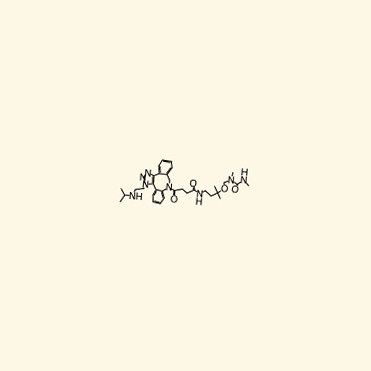 CNC(=O)N(C)COC(C)(C)CCNC(=O)CCC(=O)N1Cc2ccccc2-c2nnn(CCNC(C)C)c2-c2ccccc21